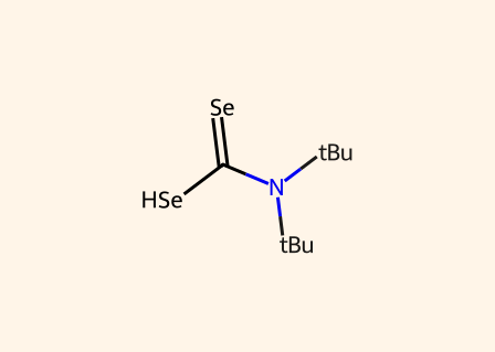 CC(C)(C)N(C(=[Se])[SeH])C(C)(C)C